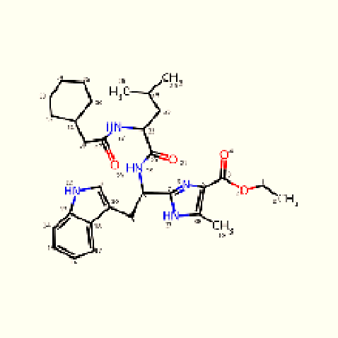 CCOC(=O)c1nc([C@@H](Cc2c[nH]c3ccccc23)NC(=O)C(CC(C)C)NC(=O)CC2CCCCC2)[nH]c1C